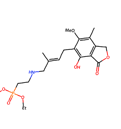 CCOP(=O)(CCNC/C(C)=C/Cc1c(O)c2c(c(C)c1OC)COC2=O)OCC